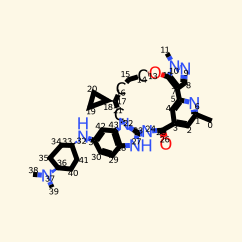 Cc1cc2cc(n1)-c1cnn(C)c1OCCC[C@@H](C1CC1)CN1/C(=N/C2=O)Nc2ccc(N[C@H]3CC[C@H](N(C)C)CC3)cc21